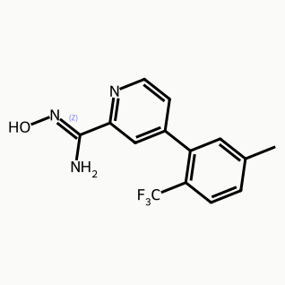 Cc1ccc(C(F)(F)F)c(-c2ccnc(/C(N)=N/O)c2)c1